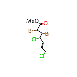 COC(=O)C(Br)C(Br)C(Cl)C=CCCl